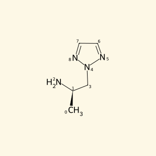 C[C@@H](N)Cn1nccn1